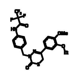 CCOc1cc(C2=NN(Cc3ccc(NC(=O)C(F)(F)C(F)(F)F)cc3)C(=O)SC2)ccc1OC